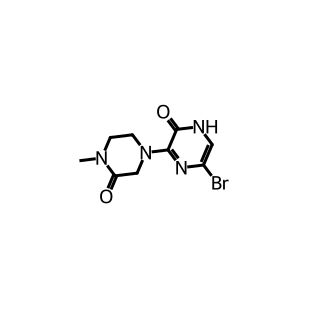 CN1CCN(c2nc(Br)c[nH]c2=O)CC1=O